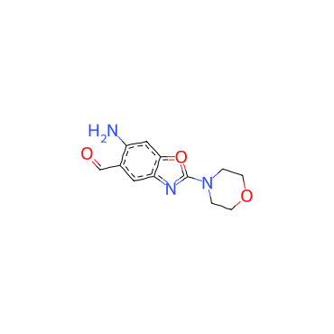 Nc1cc2oc(N3CCOCC3)nc2cc1C=O